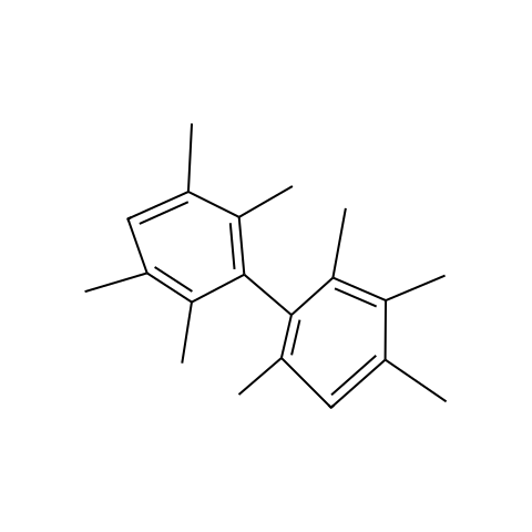 Cc1cc(C)c(-c2c(C)c(C)cc(C)c2C)c(C)c1C